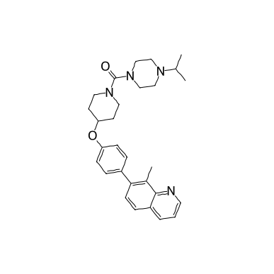 Cc1c(-c2ccc(OC3CCN(C(=O)N4CCN(C(C)C)CC4)CC3)cc2)ccc2cccnc12